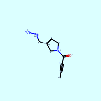 CC#CC(=O)N1CC[C@@H](CNN)C1